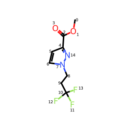 COC(=O)c1ccn(CCC(F)(F)F)n1